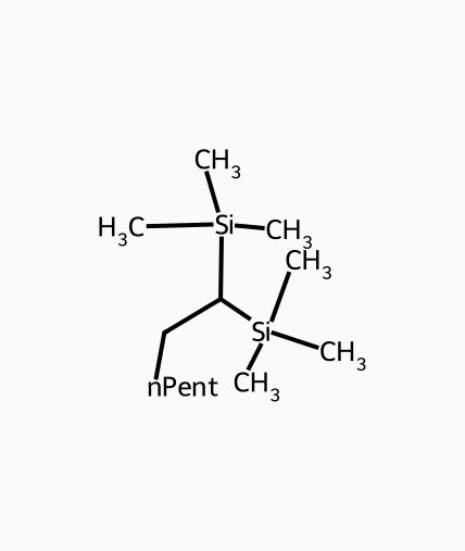 CCCCCCC([Si](C)(C)C)[Si](C)(C)C